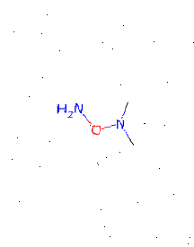 CN(C)ON